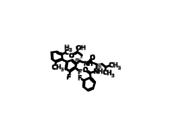 Cc1cccc(C)c1-c1cc(F)c(F)c([C@H](CC(=O)O)NC(=O)[C@H](CC(C)C)NC(=O)c2ccccc2F)c1